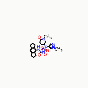 CN1CC(N(c2cnn(C)c2)S(=O)(=O)[NH+]([O-])C(=O)Nc2c3c(cc4c2CCC4)CCC3)CCC1=O